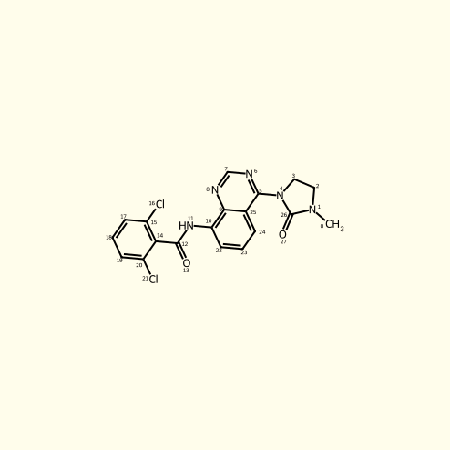 CN1CCN(c2ncnc3c(NC(=O)c4c(Cl)cccc4Cl)cccc23)C1=O